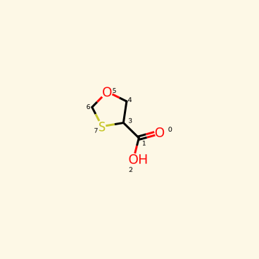 O=C(O)C1COCS1